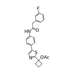 CC(=O)OC1(c2ncc(-c3ccc(NC(=O)Cc4cccc(F)c4)cc3)s2)CCC1